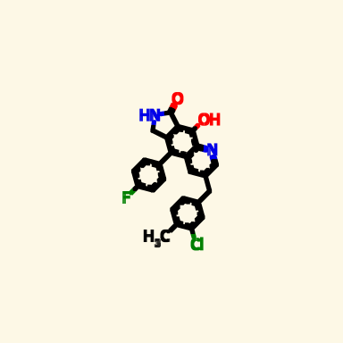 Cc1ccc(Cc2cnc3c(O)c4c(c(-c5ccc(F)cc5)c3c2)CNC4=O)cc1Cl